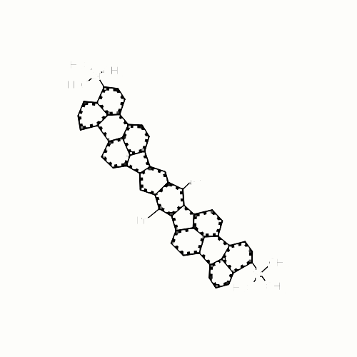 CC(C)c1c2cc3c(cc2c(C(C)C)c2c4ccc5c6ccc([Si](C)(C)C)c7cccc(c8ccc(c12)c4c85)c76)c1ccc2c4ccc([Si](C)(C)C)c5cccc(c6ccc3c1c62)c54